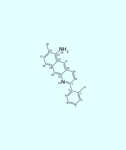 Cc1ccccc1-c1ccc2cc3c(N)c(C)ccc3cc2n1